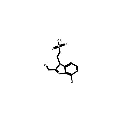 CS(=O)(=O)CCn1c(CCl)nc2c(Cl)cccc21